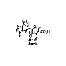 Cc1cc(C(=O)NC(Cc2ccccc2Cl)C(O)C(=O)O)cc2[nH]nnc12